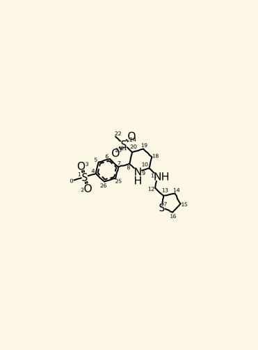 CS(=O)(=O)c1ccc(C2NC(NCC3CCCS3)CCC2S(C)(=O)=O)cc1